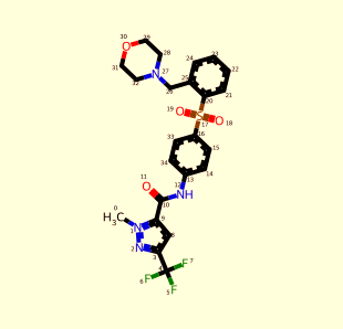 Cn1nc(C(F)(F)F)cc1C(=O)Nc1ccc(S(=O)(=O)c2ccccc2CN2CCOCC2)cc1